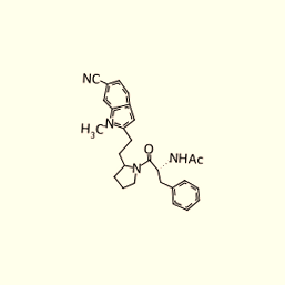 CC(=O)N[C@H](Cc1ccccc1)C(=O)N1CCCC1CCc1cc2ccc(C#N)cc2n1C